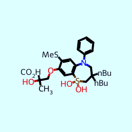 CCCCC1(CCCC)CN(c2ccccc2)c2cc(SC)c(OCC(C)(O)C(=O)O)cc2S(O)(O)C1